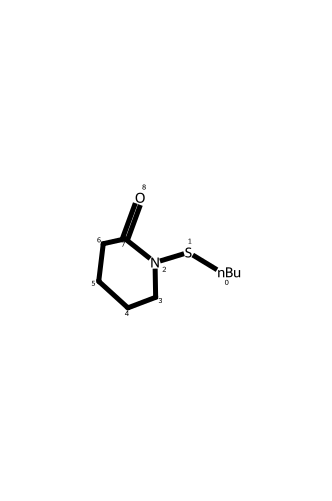 CCCCSN1CCCCC1=O